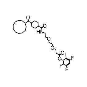 O=C(CCOCCOCCNC(=O)C1CCC(C(=O)C2CCCCCCCCCC2)CC1)Oc1c(I)c(F)cc(F)c1I